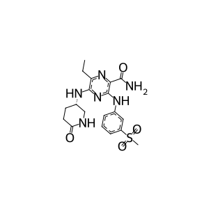 CCc1nc(C(N)=O)c(Nc2cccc(S(C)(=O)=O)c2)nc1N[C@H]1CCC(=O)NC1